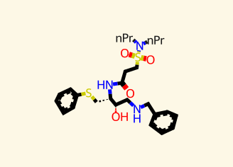 CCCN(CCC)S(=O)(=O)CCC(=O)N[C@@H](CSc1ccccc1)[C@@H](O)CNCc1ccccc1